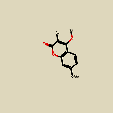 CCOc1c(C(C)=O)c(=O)oc2cc(OC)ccc12